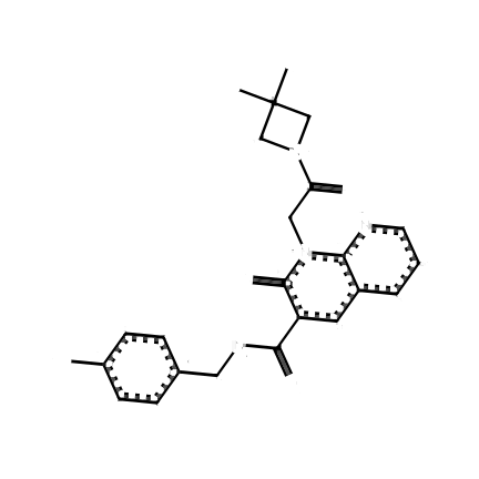 CC1(C)CN(C(=O)Cn2c(=O)c(C(=O)NCc3ccc(F)cc3)cc3cccnc32)C1